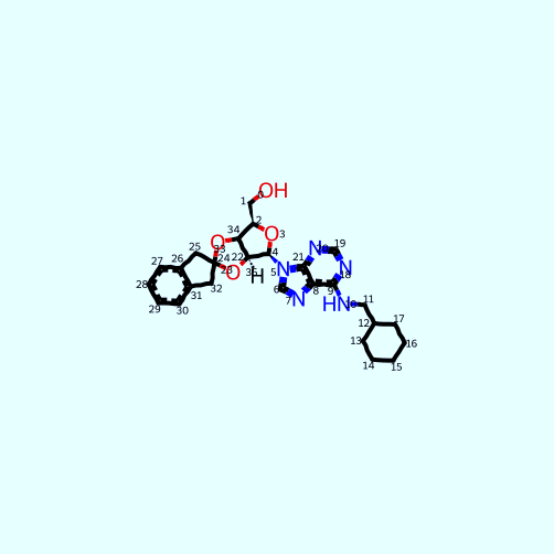 OC[C@H]1O[C@@H](n2cnc3c(NCC4CCCCC4)ncnc32)[C@H]2OC3(Cc4ccccc4C3)OC12